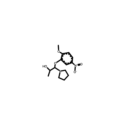 COc1ccc([N+](=O)[O-])cc1OC(C(C)O)N1CCCC1